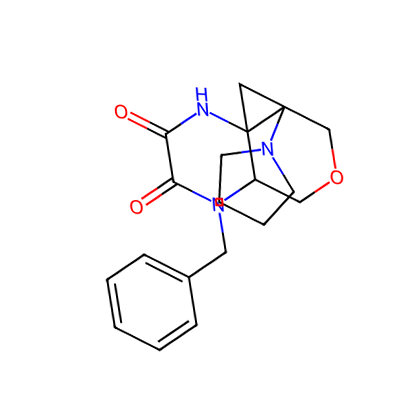 O=C1NC23CC2(N2CCCC2)COCC3N(Cc2ccccc2)C1=O